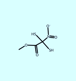 COC(=O)C(S)(S)[N+](=O)[O-]